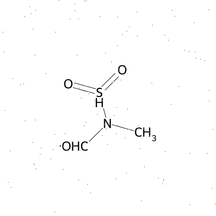 CN([C]=O)[SH](=O)=O